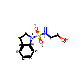 O=S(=O)(NCCO)N1CCc2ccccc21